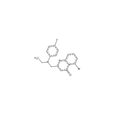 CCN(Cc1cc(=O)n2c(Br)cccc2n1)c1ccc(F)cc1